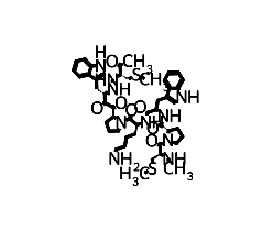 CN[C@@H](CSC)C(=O)N1CCC[C@H]1C(=O)NC(Cc1c[nH]c2ccccc12)C(=O)N[C@@H](CCCCN)C(=O)N1CCC[C@H]1C(=O)C(=O)[C@H](Cc1c[nH]c2ccccc12)NN[C@@H](CSC)C(C)=O